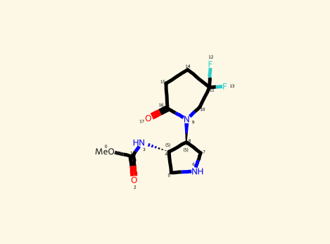 COC(=O)N[C@H]1CNC[C@@H]1N1CC(F)(F)CCC1=O